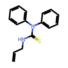 C=CCNC(=S)N(c1ccccc1)c1ccccc1